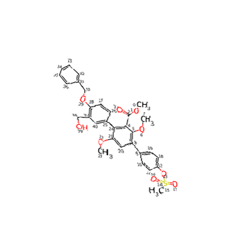 COC(=O)c1c(OC)c(-c2ccc(OS(C)(=O)=O)cc2)cc(OC)c1-c1ccc(OCc2ccccc2)c(CO)c1